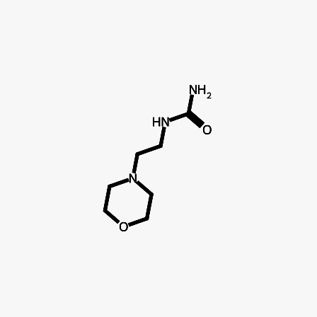 NC(=O)NCCN1CCOCC1